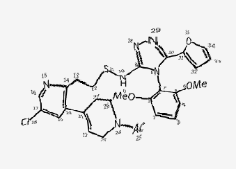 COc1cccc(OC)c1-n1c(NSCCc2ncc(Cl)cc2C2=CCN(C(C)=O)CC2)nnc1-c1ccco1